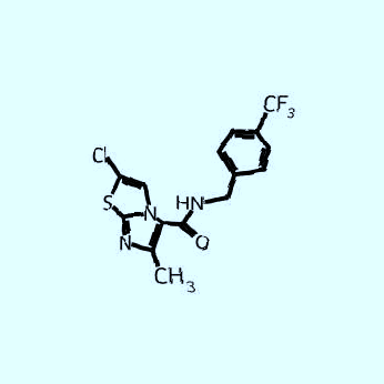 Cc1nc2sc(Cl)cn2c1C(=O)NCc1ccc(C(F)(F)F)cc1